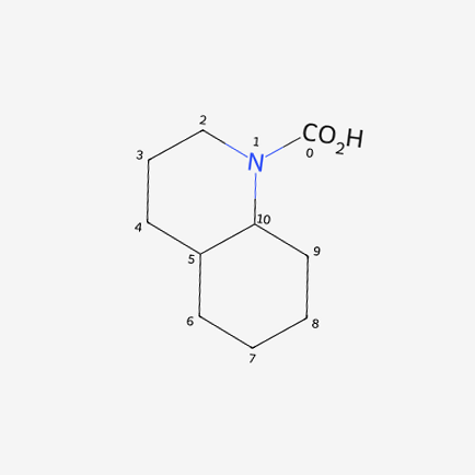 O=C(O)N1CCCC2CCCCC21